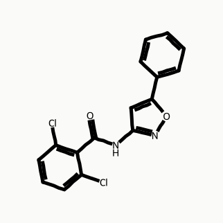 O=C(Nc1cc(-c2ccccc2)on1)c1c(Cl)cccc1Cl